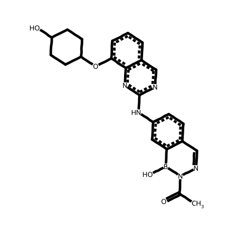 CC(=O)N1N=Cc2ccc(Nc3ncc4cccc(OC5CCC(O)CC5)c4n3)cc2B1O